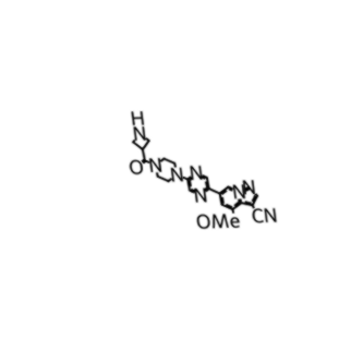 COc1cc(-c2cnc(N3CCN(C(=O)C4CNC4)CC3)cn2)cn2ncc(C#N)c12